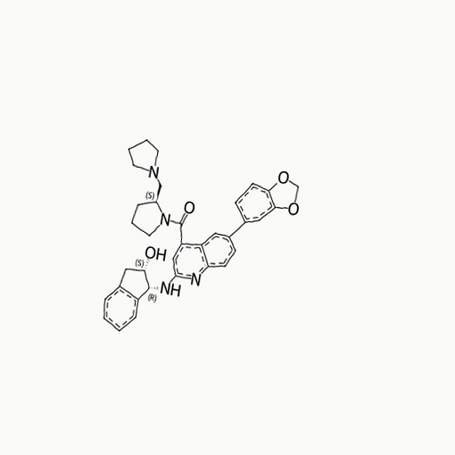 O=C(c1cc(N[C@@H]2c3ccccc3C[C@@H]2O)nc2ccc(-c3ccc4c(c3)OCO4)cc12)N1CCC[C@H]1CN1CCCC1